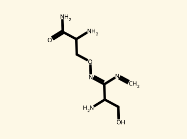 C=N/C(=N\OCC(N)C(N)=O)C(N)CO